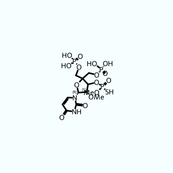 CO[C@H]1C(OP(=O)(S)OC)C(COP(=O)(O)O)(COP(=O)(O)O)O[C@H]1n1ccc(=O)[nH]c1=O